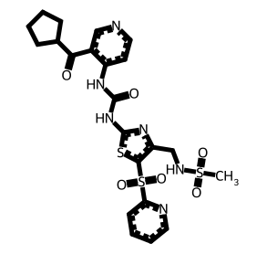 CS(=O)(=O)NCc1nc(NC(=O)Nc2ccncc2C(=O)C2CCCC2)sc1S(=O)(=O)c1ccccn1